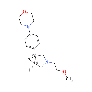 COCCN1C[C@H]2C[C@@]2(c2ccc(N3CCOCC3)cc2)C1